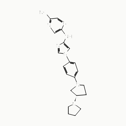 N#Cc1cnc(Nc2cn(-c3ccc(N4CC[C@@H](N5CCCC5)C4)cc3)cn2)cn1